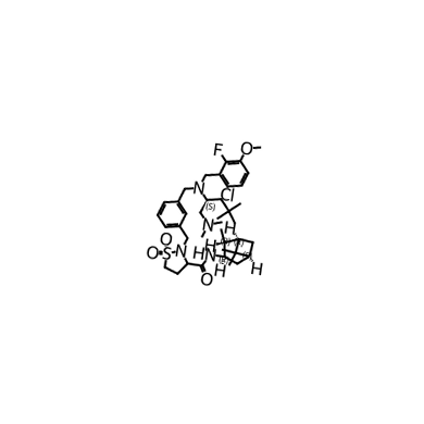 COc1ccc(Cl)c(CN(Cc2cccc(CN3C(C(=O)N[C@@H]4C[C@@H]5C[C@H]([C@H]4C)C5(C)C)CCS3(=O)=O)c2)[C@H](CN(C)C)CC(C)(C)C)c1F